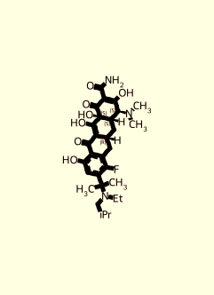 CCN(CC(C)C)C(C)(C)c1cc(O)c2c(c1F)C[C@H]1C[C@H]3[C@H](N(C)C)C(O)=C(C(N)=O)C(=O)[C@@]3(O)C(O)=C1C2=O